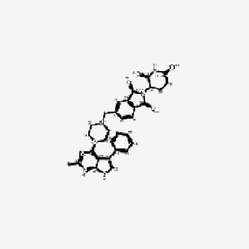 Cc1nc(N2CCN(Cc3ccc4c(c3)C(=O)N(C3CCC(=O)NC3=O)C4=O)CC2)c2c(-c3ccccc3)csc2n1